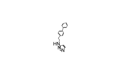 c1ncnc(NCCc2ccc(-c3ccccc3)cc2)c#1